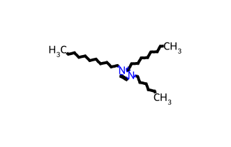 CCCCCCCCCCC[n+]1ccn(CCCCCC)c1CCCCCCCC